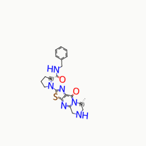 C[C@@H]1CNCc2nc3sc(N4CCC[C@@H]4C(=O)NCc4ccccc4)nc3c(=O)n21